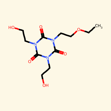 CCOCCn1c(=O)n(CCO)c(=O)n(CCO)c1=O